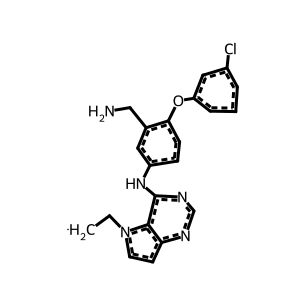 [CH2]Cn1ccc2ncnc(Nc3ccc(Oc4cccc(Cl)c4)c(CN)c3)c21